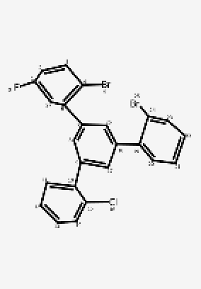 Fc1ccc(Br)c(-c2cc(-c3ccccc3Cl)cc(-c3ccccc3Br)c2)c1